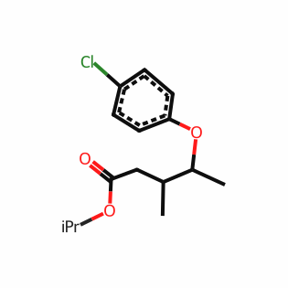 CC(C)OC(=O)CC(C)C(C)Oc1ccc(Cl)cc1